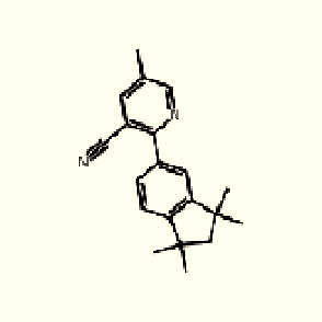 Cc1cnc(-c2ccc3c(c2)C(C)(C)CC3(C)C)c(C#N)c1